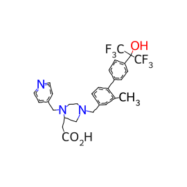 Cc1cc(CN2CCN(Cc3ccncc3)C(CC(=O)O)C2)ccc1-c1ccc(C(O)(C(F)(F)F)C(F)(F)F)cc1